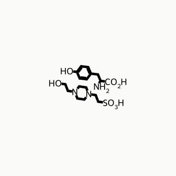 NC(Cc1ccc(O)cc1)C(=O)O.O=S(=O)(O)CCN1CCN(CCO)CC1